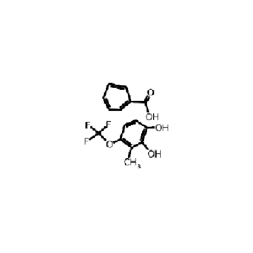 Cc1c(OC(F)(F)F)ccc(O)c1O.O=C(O)c1ccccc1